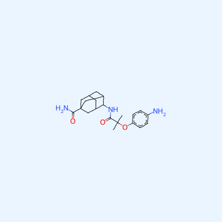 CC(C)(Oc1ccc(N)cc1)C(=O)NC1C2CC3CC1CC(C(N)=O)(C3)C2